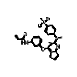 C=CC(=O)Nc1cccc(Oc2nc(N(C)c3ccc(S(C)(=O)=O)cc3)nc3ccsc23)c1